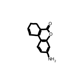 Nc1ccc2c3c(c(=O)oc2c1)CCC=C3